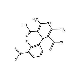 CC1=C(C(=O)O)C(c2cccc([N+](=O)[O-])c2F)C(C(=O)O)=C(C)N1